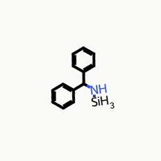 [SiH3]NC(c1ccccc1)c1ccccc1